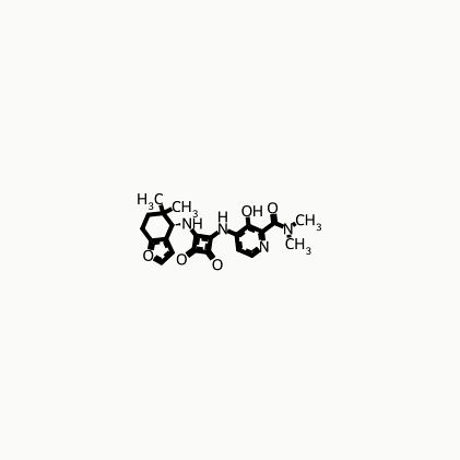 CN(C)C(=O)c1nccc(Nc2c(N[C@@H]3c4ccoc4CCC3(C)C)c(=O)c2=O)c1O